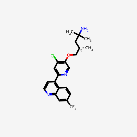 C[C@H](COc1cnc(-c2ccnc3cc(C(F)(F)F)ccc23)cc1Cl)CC(C)(C)N